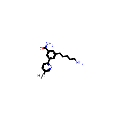 Cc1ccc(-c2cc(CCCCCN)cc(C(N)=O)c2)nc1